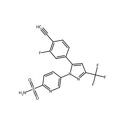 C#Cc1ccc(-c2cc(C(F)(F)F)nn2-c2ccc(S(N)(=O)=O)nc2)cc1F